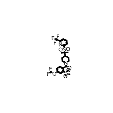 CC(C)(C1CCN(C(=O)c2ccc(OC(F)F)cc2S(C)(=O)=O)CC1)S(=O)(=O)c1cccc(C(F)(F)F)n1